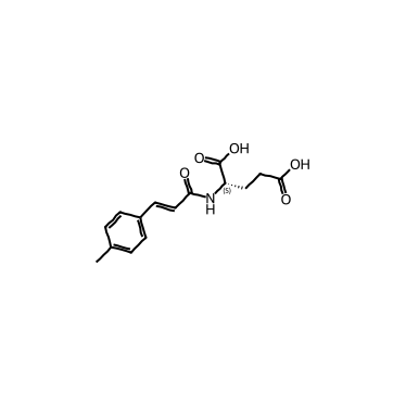 Cc1ccc(C=CC(=O)N[C@@H](CCC(=O)O)C(=O)O)cc1